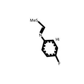 CSC=Nc1ccc(F)cc1.I